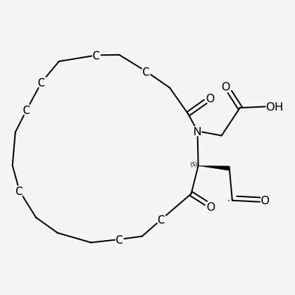 O=[C]C[C@H]1C(=O)CCCCCCCCCCCCCCCCC(=O)N1CC(=O)O